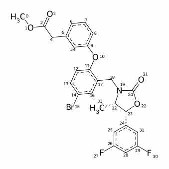 COC(=O)Cc1cccc(Oc2ccc(Br)cc2CN2C(=O)O[C@H](c3cc(F)cc(F)c3)[C@@H]2C)c1